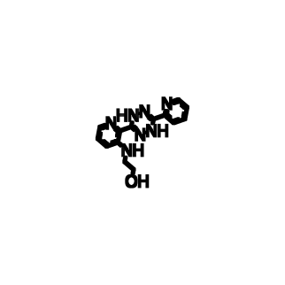 OCCNc1cccnc1C1=NNC(c2ccccn2)=NN1